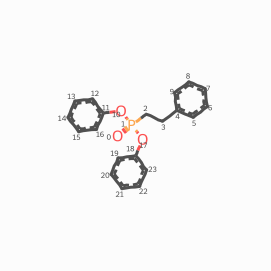 O=P(CCc1ccccc1)(Oc1ccccc1)Oc1ccccc1